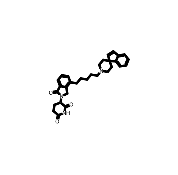 O=C1CCC(N2Cc3c(CCCCCN4CCC5(C=Cc6ccccc65)CC4)cccc3C2=O)C(=O)N1